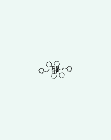 C(=C\c1ccccc1)/C[PH]([Pd][PH](C/C=C/c1ccccc1)(C1CCCCC1)C1CCCCC1)(C1CCCCC1)C1CCCCC1